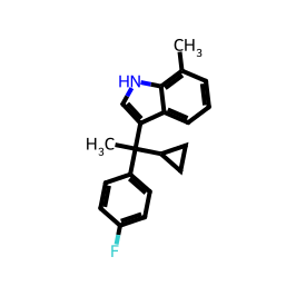 Cc1cccc2c(C(C)(c3ccc(F)cc3)C3CC3)c[nH]c12